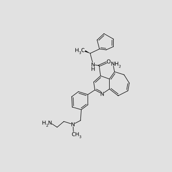 C[C@H](NC(=O)c1cc(-c2cccc(CN(C)CCN)c2)nc2c1=C(N)CC=CC=2)c1ccccc1